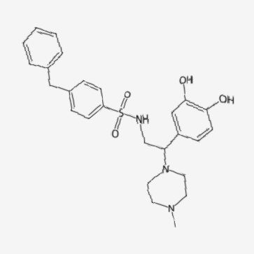 CN1CCN(C(CNS(=O)(=O)c2ccc(Cc3ccccc3)cc2)c2ccc(O)c(O)c2)CC1